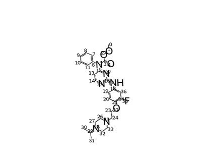 COOC(=O)N(c1ccccc1)c1ccnc(Nc2ccc(OCCN3CCN(C(C)C)CC3)c(F)c2)n1